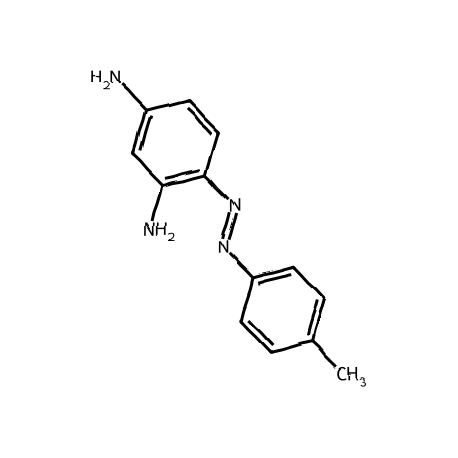 Cc1ccc(N=Nc2ccc(N)cc2N)cc1